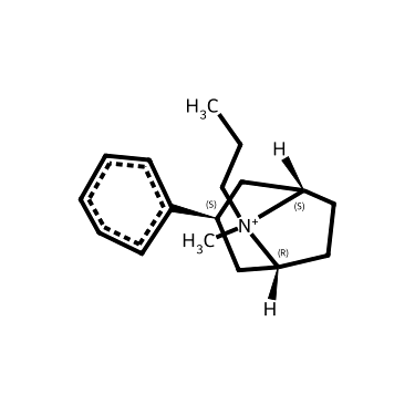 CCC[N+]1(C)[C@@H]2CC[C@H]1C[C@H](c1ccccc1)C2